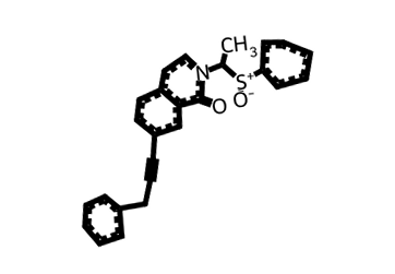 CC(n1ccc2ccc(C#CCc3ccccc3)cc2c1=O)[S+]([O-])c1ccccc1